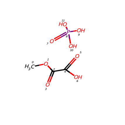 COC(=O)C(=O)O.O=P(O)(O)O